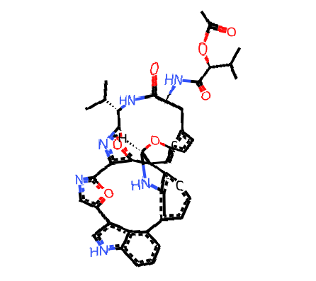 CC(=O)O[C@H](C(=O)N[C@H]1Cc2ccc3c(c2)C24c5cccc(c5N[C@H]2O3)-c2cccc3[nH]cc(c23)-c2cnc(o2)-c2nc(oc24)[C@H](C(C)C)NC1=O)C(C)C